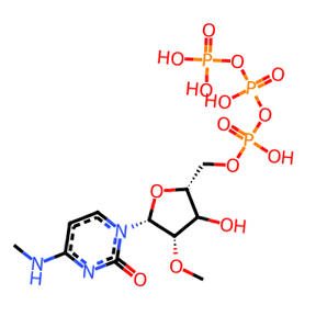 CNc1ccn([C@@H]2O[C@H](COP(=O)(O)OP(=O)(O)OP(=O)(O)O)C(O)[C@@H]2OC)c(=O)n1